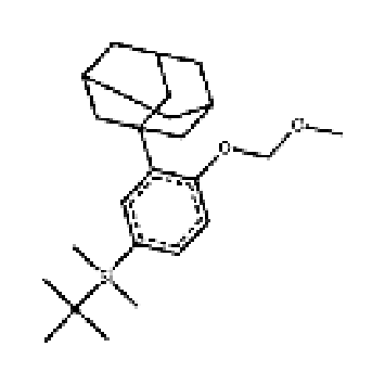 COCOc1ccc([Si](C)(C)C(C)(C)C)cc1C12CC3CC(CC(C3)C1)C2